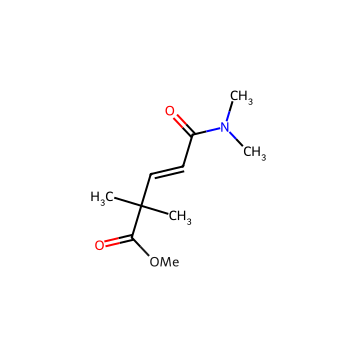 COC(=O)C(C)(C)/C=C/C(=O)N(C)C